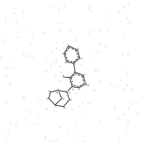 Cc1c(-c2ccccc2)[c]ncc1N1CCC2CCN1C2